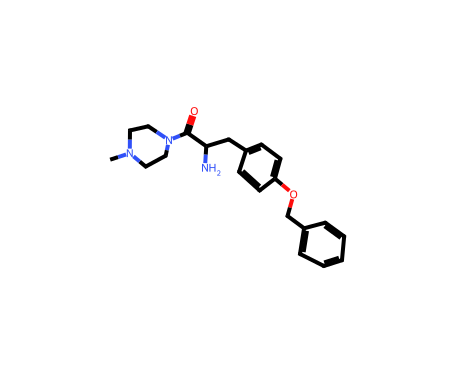 CN1CCN(C(=O)C(N)Cc2ccc(OCc3ccccc3)cc2)CC1